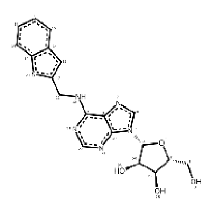 OC[C@H]1O[C@@H](n2cnc3c(NCc4cc5ccccc5s4)ncnc32)[C@H](O)[C@@H]1O